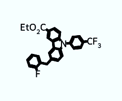 CCOC(=O)c1ccc2c(c1)c1cc(Cc3ccccc3F)ccc1n2-c1ccc(C(F)(F)F)cc1